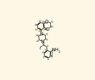 C[C@H](Cc1cccnc1N)N1CCN(c2cccc3c2OCCO3)CC1